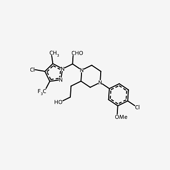 COc1cc(N2CCN(C(C=O)n3nc(C(F)(F)F)c(Cl)c3C)C(CCO)C2)ccc1Cl